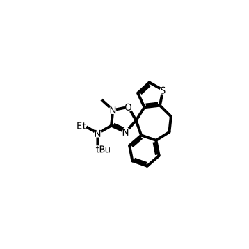 CCN(C1=NC2(ON1C)c1ccccc1CCc1sccc12)C(C)(C)C